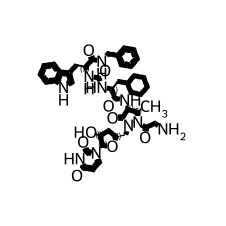 C[C@H]1[C@H](NC(=O)[C@H](CC2CCCCC2)NC(=O)N[C@@H](Cc2c[nH]c3ccccc23)C(=O)NCc2ccccc2)C(=O)N(C[C@H]2C[C@@H](O)[C@H](n3ccc(=O)[nH]c3=O)O2)N1C(=O)CN